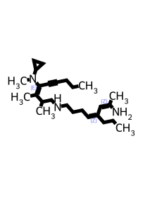 CCCC#C/C(=C(/C)C(C)CNCCC/C=C(\C=C(\C)N)CCC)N(C)C1CC1